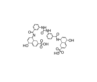 O=C(Nc1cccc(C(=O)N=C2C=CC(O)C3=CC=C(S(=O)(=O)O)CC32)c1)Nc1cccc(C(=O)N=C2C=CC(O)C3=CC=C(S(=O)(=O)O)CC32)c1